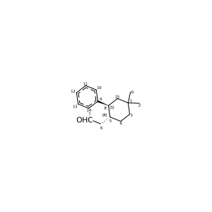 CC1(C)CC[C@H](CC=O)[C@@H](c2ccccc2)C1